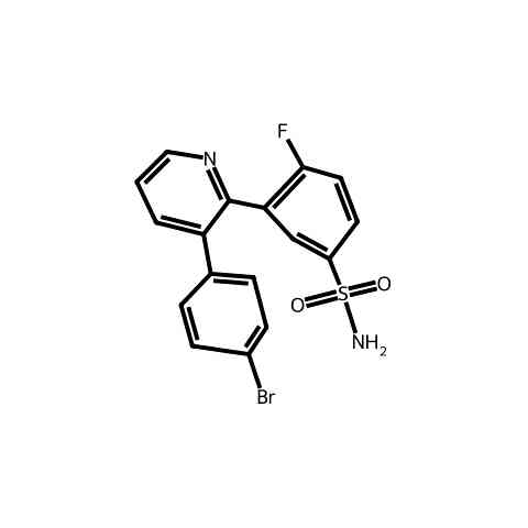 NS(=O)(=O)c1ccc(F)c(-c2ncccc2-c2ccc(Br)cc2)c1